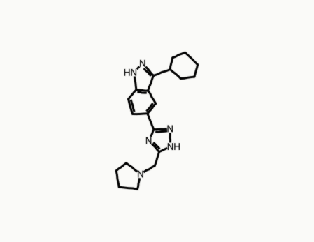 c1cc2[nH]nc(C3CCCCC3)c2cc1-c1n[nH]c(CN2CCCC2)n1